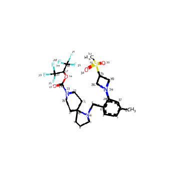 Cc1ccc(CN2CCCC23CCN(C(=O)OC(C(F)(F)F)C(F)(F)F)CC3)c(N2CC(S(C)(=O)=O)C2)c1